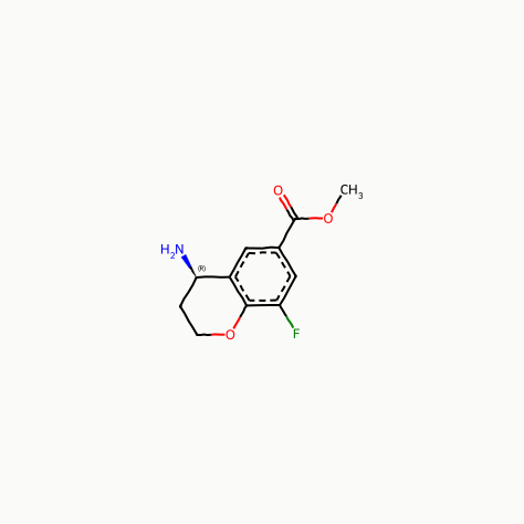 COC(=O)c1cc(F)c2c(c1)[C@H](N)CCO2